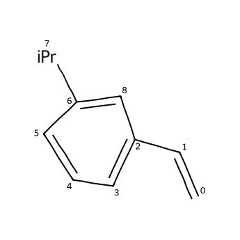 C=Cc1cccc(C(C)C)c1